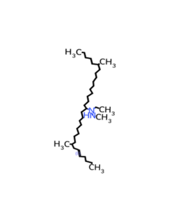 CCCC/C=C/CC(C)CCCCCCCCC(CCCCCCCCCCC(C)CCCCC)N(CC)NC